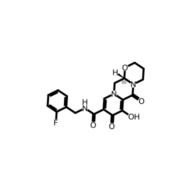 O=C(NCc1ccccc1F)c1cn2c(c(O)c1=O)C(=O)N1CCCO[C@H]1C2